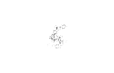 CC(C)[C@@H](NC(=O)c1cc(C(F)(F)F)ccc1F)C(=O)N1CCC2(CC1)C(=O)N(C)CN2c1ccc(C(=O)OCc2ccccc2)cc1